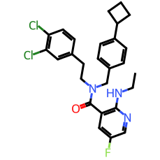 CCNc1ncc(F)cc1C(=O)N(CCc1ccc(Cl)c(Cl)c1)Cc1ccc(C2CCC2)cc1